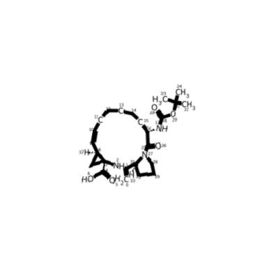 C=C1N[C@]2(C(=O)O)C[C@H]2/C=C\CCCCC[C@H](NC(=O)OC(C)(C)C)C(=O)N2CCC[C@@H]12